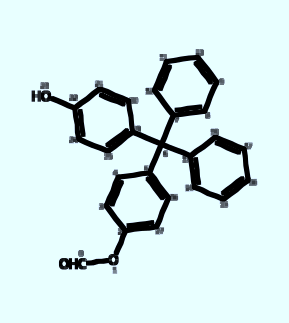 O=COc1ccc(C(c2ccccc2)(c2ccccc2)c2ccc(O)cc2)cc1